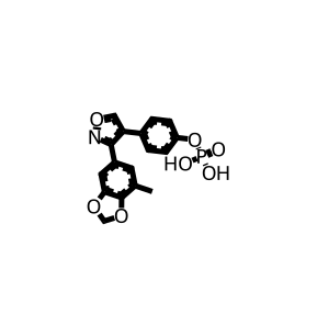 Cc1cc(-c2nocc2-c2ccc(OP(=O)(O)O)cc2)cc2c1OCO2